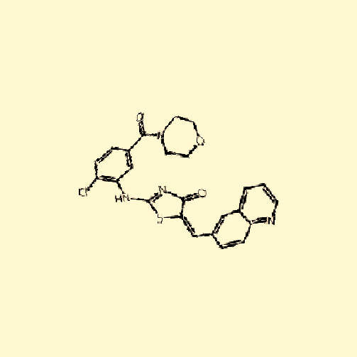 O=C1N=C(Nc2cc(C(=O)N3CCOCC3)ccc2Cl)SC1=Cc1ccc2ncccc2c1